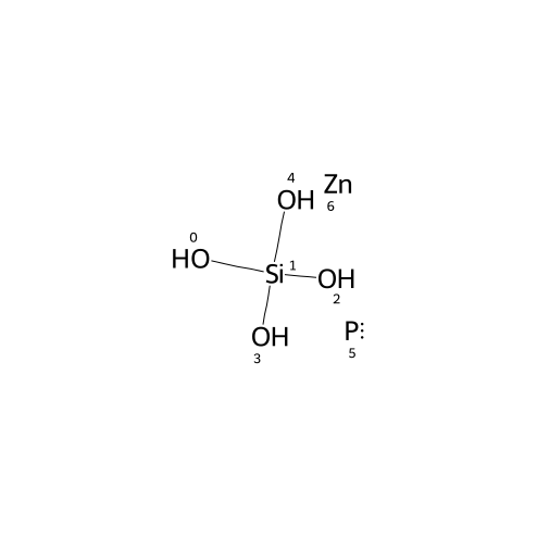 O[Si](O)(O)O.[P].[Zn]